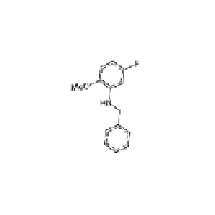 COc1ccc(F)cc1NCc1ccccc1